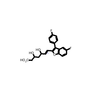 O=C(O)CC(O)CC(O)/C=C/c1oc2ccc(F)cc2c1-c1ccc(F)cc1